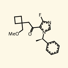 COCC1(CC(=O)c2c(F)ncn2[C@H](C)c2ccccc2)CCC1